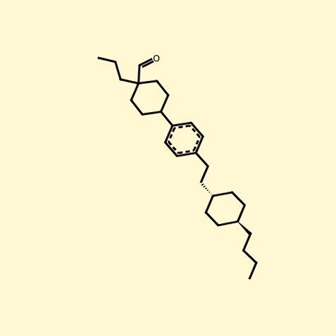 CCCC[C@H]1CC[C@H](CCc2ccc(C3CCC(C=O)(CCC)CC3)cc2)CC1